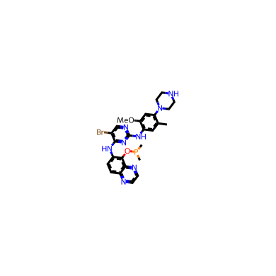 COc1cc(N2CCNCC2)c(C)cc1Nc1ncc(Br)c(Nc2ccc3nccnc3c2OP(C)C)n1